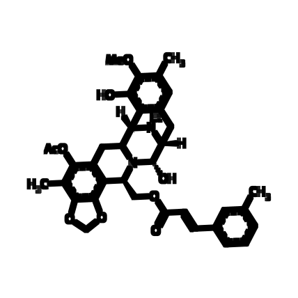 CCN1[C@@H]2Cc3cc(C)c(OC)c(O)c3[C@H]1C1Cc3c(OC(C)=O)c(C)c4c(c3[C@H](COC(=O)/C=C/c3cccc(C)c3)N1[C@H]2O)OCO4